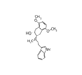 COc1ccc(OC)c2c1C[C@@H](O)[C@H](N(C)CCc1c[nH]c3ccccc13)C2